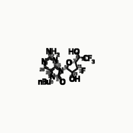 CCCCn1c(=O)n([C@@H]2O[C@H]([C@@H](O)C(F)(F)F)[C@H](F)[C@H]2O)c2nc(N)ncc21